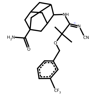 CC(C)(OCc1cccc(C(F)(F)F)c1)/C(=N\C#N)NC1C2CC3CC1CC(C(N)=O)(C3)C2